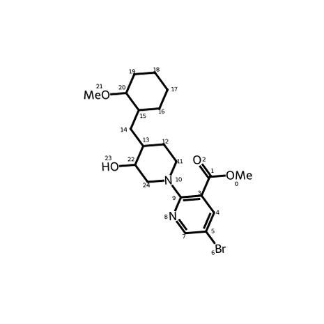 COC(=O)c1cc(Br)cnc1N1CCC(CC2CCCCC2OC)C(O)C1